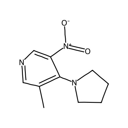 Cc1cncc([N+](=O)[O-])c1N1CCCC1